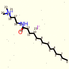 CCCCCCCCCCCCCC(=O)NCCC[N+](C)(C)C.[I-]